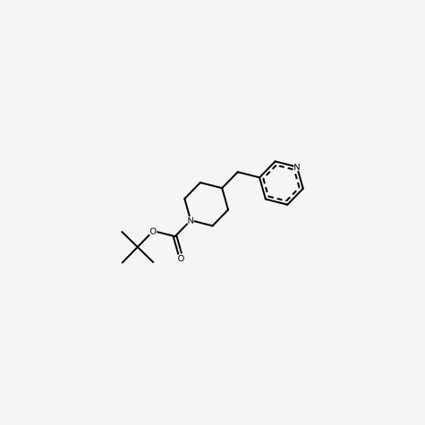 CC(C)(C)OC(=O)N1CCC(Cc2cccnc2)CC1